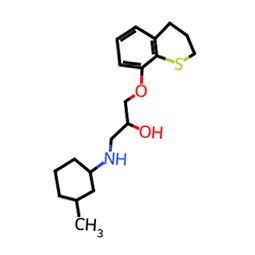 CC1CCCC(NCC(O)COc2cccc3c2SCCC3)C1